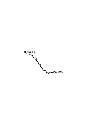 CCCCCC=CC/C=C\CCCCCCC=COCCCN(C)C